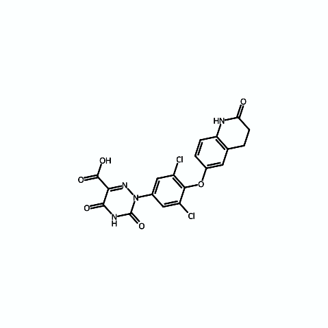 O=C1CCc2cc(Oc3c(Cl)cc(-n4nc(C(=O)O)c(=O)[nH]c4=O)cc3Cl)ccc2N1